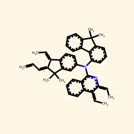 C=C/C=C1\C(=C/C)c2ccc(N(c3cccc4c3-c3ccccc3C4(C)C)c3nc(=C/C)/c(=C\C)c4ccccc34)cc2C1(C)C